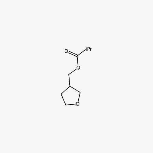 CC(C)C(=O)OCC1CCOC1